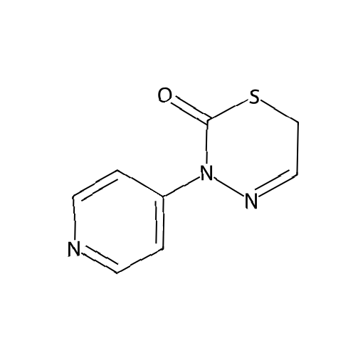 O=C1SCC=NN1c1ccncc1